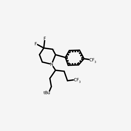 CC(C)(C)CCC(CCC(F)(F)F)N1CCC(F)(F)[CH]C1c1ccc(C(F)(F)F)cc1